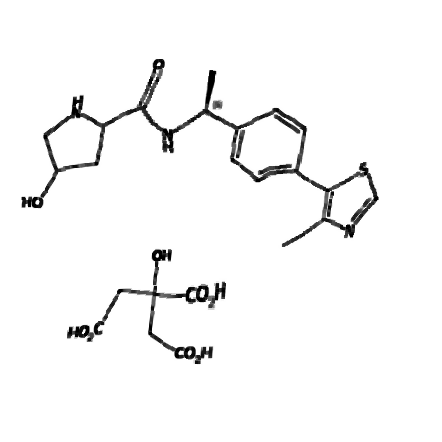 Cc1ncsc1-c1ccc([C@H](C)NC(=O)C2CC(O)CN2)cc1.O=C(O)CC(O)(CC(=O)O)C(=O)O